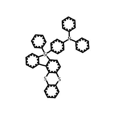 c1ccc(N(c2ccccc2)c2ccc([Si]3(c4ccccc4)c4ccccc4-c4c3ccc3c4Sc4ccccc4S3)cc2)cc1